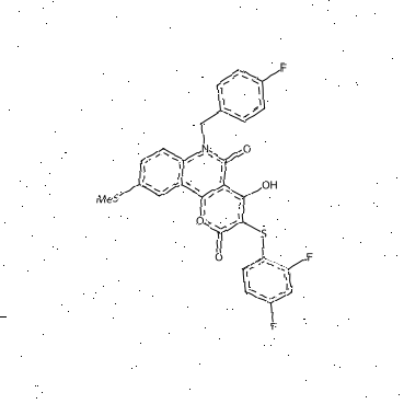 CSc1ccc2c(c1)c1oc(=O)c(Sc3ccc(F)cc3F)c(O)c1c(=O)n2Cc1ccc(F)cc1